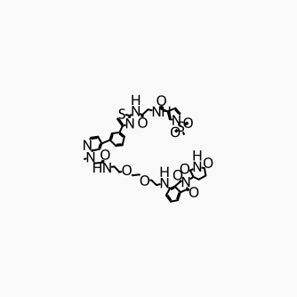 CN(CC(=O)NCCOCCOCCNc1cccc2c1C(=O)N(C1CCC(=O)NC1=O)C2=O)c1cc(-c2cccc(-c3csc(NC(=O)CNC(=O)c4ccn(S(C)(=O)=O)c4)n3)c2)ccn1